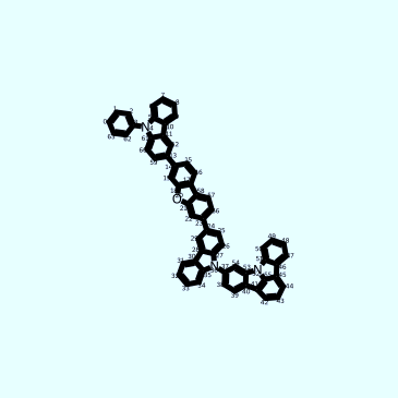 c1ccc(-n2c3ccccc3c3cc(-c4ccc5c(c4)oc4cc(-c6ccc7c(c6)c6ccccc6n7-c6ccc7c8cccc9c%10ccccc%10n(c7c6)c98)ccc45)ccc32)cc1